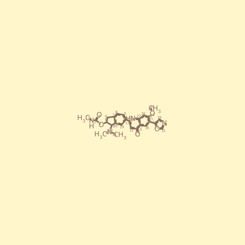 CNC(=O)OC1Cc2ccc(-c3cc(=O)c4cc(-c5cnco5)c(OC)cc4[nH]3)cc2C1N(C)C